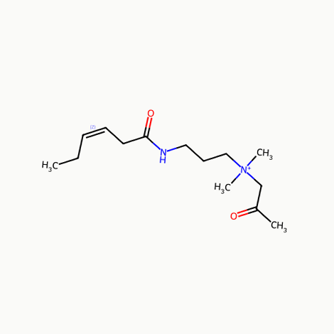 CC/C=C\CC(=O)NCCC[N+](C)(C)CC(C)=O